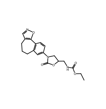 CCOC(=O)NCC1CN(c2ccc3c(c2)CCCc2cnoc2-3)C(=O)O1